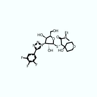 CCN(C)C(=O)[C@@H](S[C@@H]1O[C@H](CO)[C@H](O)[C@H](n2cc(-c3cc(F)c(F)c(F)c3)nn2)[C@H]1O)C1(O)CCOCC1